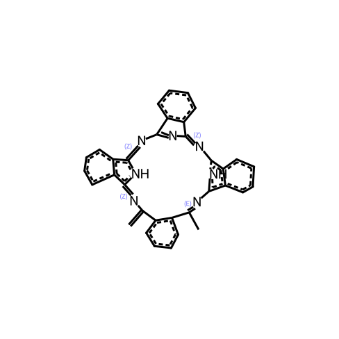 C=C1/N=c2\[nH]/c(c3ccccc23)=N\C2=NC(=N\c3[nH]c(c4ccccc34)/N=C(\C)c3ccccc31)/c1ccccc12